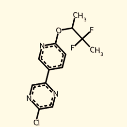 CC(Oc1ccc(-c2cnc(Cl)cn2)cn1)C(C)(F)F